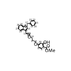 COC(=O)c1ccc(OCCCON=Cc2cn(Cc3ccccc3)c3ccccc23)cc1O